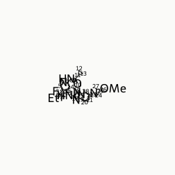 CCC(F)(F)c1cnc(NC(=O)C2CC2)cc1Nc1nc2ccc(N3CC(OC)C3)cn2n1